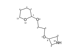 C1CCC(OCCOC2CNC2)OC1